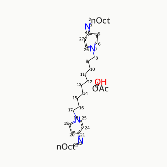 CC(=O)OO.CCCCCCCCN=c1ccn(CCCCCCCCCCn2ccc(=NCCCCCCCC)cc2)cc1